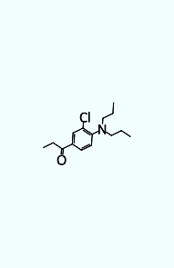 CCCN(CCC)c1ccc(C(=O)CC)cc1Cl